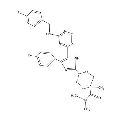 CN(C)C(=O)C1(C)COC(c2nc(-c3ccc(F)cc3)c(-c3ccnc(NCc4ccc(F)cc4)n3)[nH]2)OC1